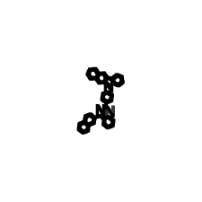 c1ccc2cc(-c3nc(-c4ccc(-n5c6ccccc6c6cc7ccccc7cc65)cc4)nc4ccccc34)ccc2c1